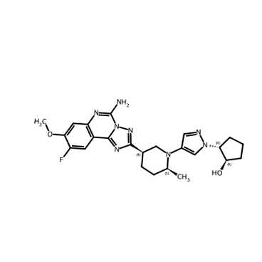 COc1cc2nc(N)n3nc([C@@H]4CC[C@H](C)N(c5cnn([C@@H]6CCC[C@H]6O)c5)C4)nc3c2cc1F